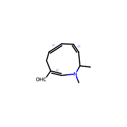 CC1/C=C\C=C/C/C(C=O)=C\N1C